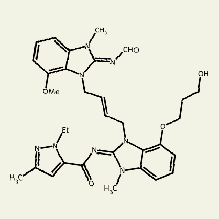 CCn1nc(C)cc1C(=O)/N=c1\n(C)c2cccc(OCCCO)c2n1C/C=C/Cn1/c(=N/C=O)n(C)c2cccc(OC)c21